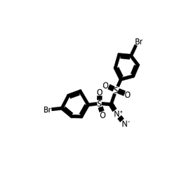 [N-]=[N+]=C(S(=O)(=O)c1ccc(Br)cc1)S(=O)(=O)c1ccc(Br)cc1